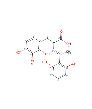 CC(=NC(Cc1ccc(O)c(O)c1O)C(=O)O)c1c(O)cccc1O